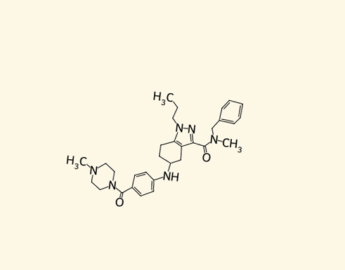 CCCn1nc(C(=O)N(C)Cc2ccccc2)c2c1CCC(Nc1ccc(C(=O)N3CCN(C)CC3)cc1)C2